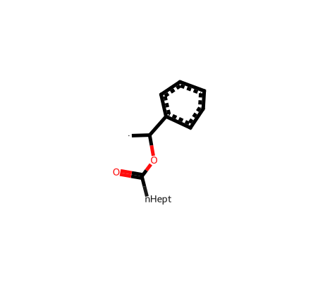 [CH2]C(OC(=O)CCCCCCC)c1ccccc1